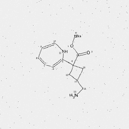 CC(C)(C)OC(=O)C1(C2=CC=CC=CN2)CC(CN)C1